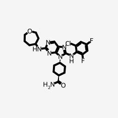 NC(=O)[C@H]1CC[C@H](n2c(Nc3c(F)cc(F)cc3Cl)nc3cnc(NC4CCCOCC4)nc32)CC1